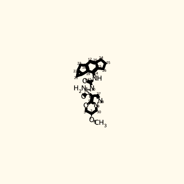 CO[C@@H]1COc2c(S(N)(=O)=NC(=O)Nc3c4c(cc5c3C3CC3C5)CCC4)cnn2C1